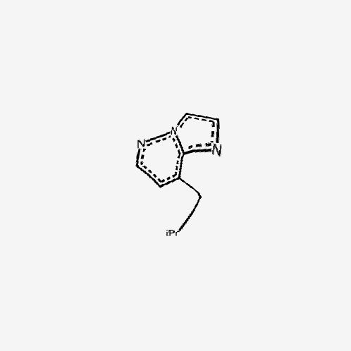 CC(C)Cc1ccnn2ccnc12